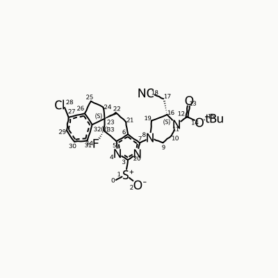 C[S+]([O-])c1nc2c(c(N3CCN(C(=O)OC(C)(C)C)[C@@H](CC#N)C3)n1)CC[C@@]1(CCc3c(Cl)cccc31)[C@H]2F